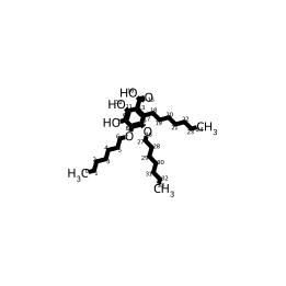 CCCCCCCOc1c(O)c(O)c(C(=O)O)c(CCCCCCC)c1OCCCCCCC